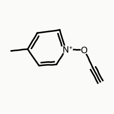 C#CO[n+]1ccc(C)cc1